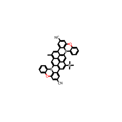 Cc1cc2c3c(cc4c([Si](C)(C)C)cc5c6c(cc1c3c46)B1c3ccccc3Oc3cc(C#N)cc-5c31)B1c3ccccc3Oc3cc(C#N)cc-2c31